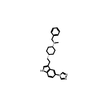 CN(Cc1ccccc1)[C@H]1CC[C@@H](CCc2c[nH]c3ccc(-n4cnnc4)cc23)CC1